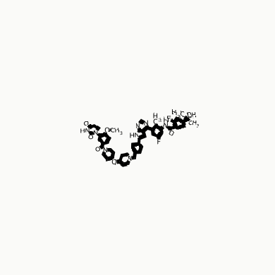 COc1ccc(C(=O)N2CCC(OC3CCN(Cc4ccc(-c5cc6c(-c7cc(F)cc(NC(=O)c8ccc(C(C)(C)O)cc8F)c7C)ncnc6[nH]5)cc4)CC3)CC2)cc1N1CCC(=O)NC1=O